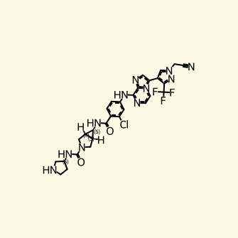 N#CCn1cc(-c2cnc3c(Nc4ccc(C(=O)N[C@H]5[C@@H]6CN(C(=O)N[C@H]7CCNC7)C[C@@H]65)c(Cl)c4)nccn23)c(C(F)(F)F)n1